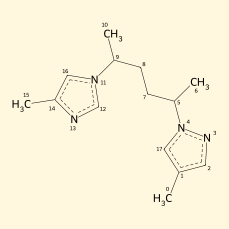 Cc1cnn(C(C)CCC(C)n2cnc(C)c2)c1